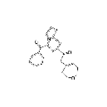 O=C(CC1=CCCOCC1)c1cc(C(=O)c2ccccc2)n2cccc2c1